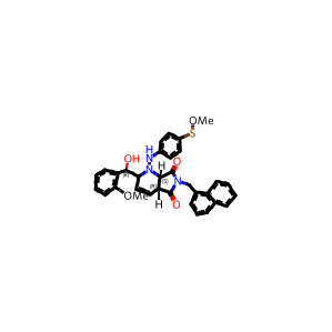 COSc1ccc(NN2C([C@H](O)c3ccccc3OC)C=C[C@H]3C(=O)N(Cc4cccc5ccccc45)C(=O)[C@H]32)cc1